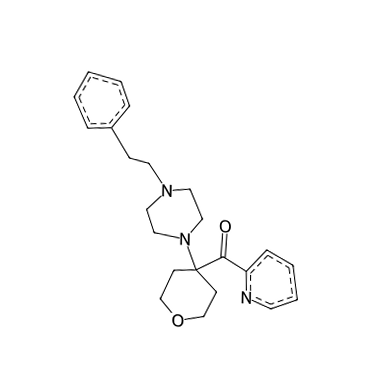 O=C(c1ccccn1)C1(N2CCN(CCc3ccccc3)CC2)CCOCC1